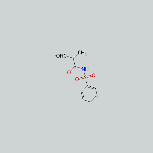 CC([C]=O)C(=O)NS(=O)(=O)c1ccccc1